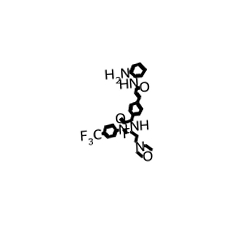 Nc1ccccc1NC(=O)C=Cc1ccc(C(NCCCN2CCOCC2)C(=O)N(F)c2ccc(C(F)(F)F)cc2)cc1